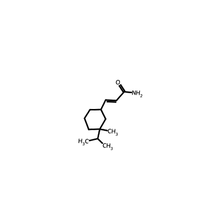 CC(C)C1(C)CCCC(C=CC(N)=O)C1